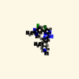 CCN1CCC(C(C)c2ccc(Nc3ncc(F)c(-c4cc(F)c5nc(C)n(C(C)C)c5c4)n3)nc2)CC1